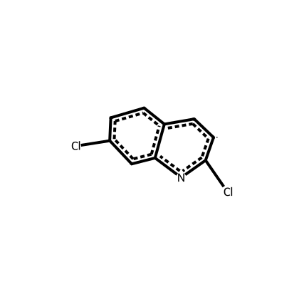 Clc1ccc2c[c]c(Cl)nc2c1